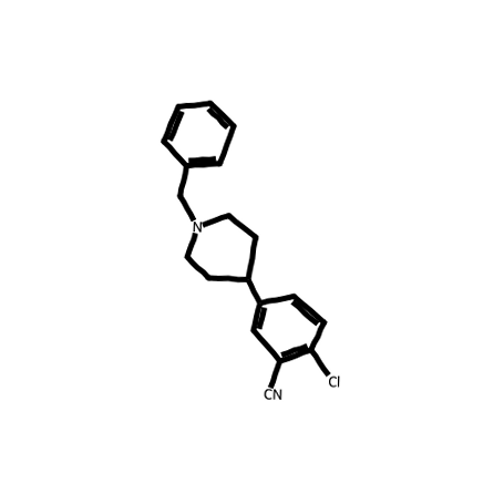 N#Cc1cc(C2CCN(Cc3ccccc3)CC2)ccc1Cl